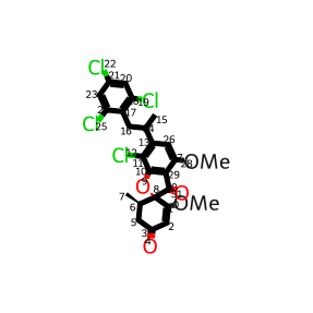 COC1=CC(=O)C[C@@H](C)[C@]12Oc1c(Cl)c(C(C)Cc3c(Cl)cc(Cl)cc3Cl)cc(OC)c1C2=O